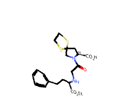 CCOC(=O)C(CCc1ccccc1)NCC(=O)N1CC2(C[C@H]1C(=O)O)SCCS2